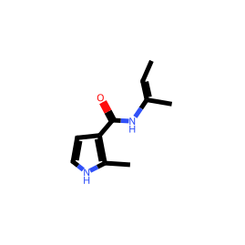 CC=C(C)NC(=O)c1cc[nH]c1C